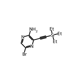 CC[Si](C#Cc1nc(Br)cnc1N)(CC)CC